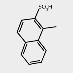 Cc1c(S(=O)(=O)O)ccc2ccccc12